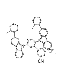 Cc1ccccc1-c1ccc2c3ccccc3n(-c3cc(-c4cc(C#N)cc(C(F)(F)F)c4)c(-n4c5ccccc5c5ccc(-c6ccccc6C)cc54)cn3)c2c1